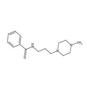 CN1CCN(CCCNC(=O)c2ccccc2)CC1